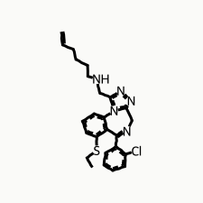 C=CCCCCNCc1nnc2n1-c1cccc(SCC)c1C(c1ccccc1Cl)=NC2